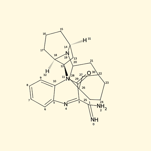 N=C(N)c1nc2ccccc2n([C@@H]2C[C@@H]3CCC[C@H]2N3C2CC3CCCC(C3)C2)c1=O